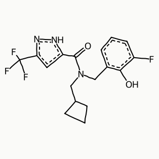 O=C(c1cc(C(F)(F)F)n[nH]1)N(Cc1cccc(F)c1O)CC1CCC1